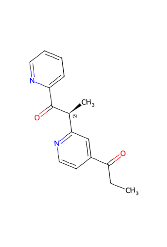 CCC(=O)c1ccnc([C@H](C)C(=O)c2ccccn2)c1